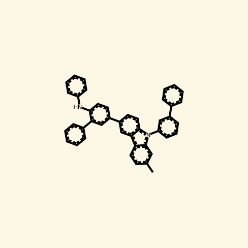 Cc1ccc2c3cc(-c4ccc(Nc5ccccc5)c(-c5ccccc5)c4)ccc3n(-c3cccc(-c4ccccc4)c3)c2c1